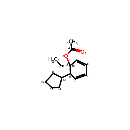 CC[C@]1(OC(C)=O)C=CC=CC1C1CCCC1